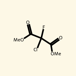 COC(=O)C(F)(Cl)C(=O)OC